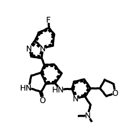 CN(C)Cc1nc(Nc2ccc(-c3cnc4cc(F)ccn34)c3c2C(=O)NC3)ccc1C1CCOC1